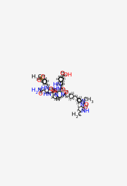 C=C1CCC(n2c(=O)n(C)c3cc(C[C@H]4CC[C@@H](CC(=O)N5CC[C@H]6CC[C@@H](C(=O)N[C@@H](CCC(N)=O)C(=O)NCc7ccc(S(C)(=O)=O)cc7)N6C(=O)[C@@H](NC(=O)c6cc7cc(C(=O)O)ccc7[nH]6)C5)CC4)ccc32)C(=O)N1